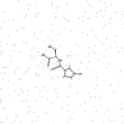 O=C(N[C@H](CO)C(=O)O)c1ccc(Cl)s1